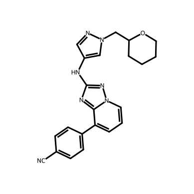 N#Cc1ccc(-c2cccn3nc(Nc4cnn(CC5CCCCO5)c4)nc23)cc1